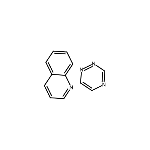 c1ccc2ncccc2c1.c1cnncn1